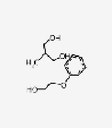 CC(CO)CO.OCCOc1ccccc1